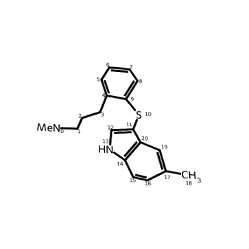 CNCCCc1ccccc1Sc1c[nH]c2ccc(C)cc12